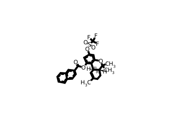 CC1=C[C@H]2c3c(OC(=O)c4ccc5ccccc5c4)cc(OS(=O)(=O)C(F)(F)F)cc3OC(C)(C)[C@@H]2CC1